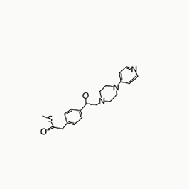 CSC(=O)Cc1ccc(C(=O)CN2CCN(c3ccncc3)CC2)cc1